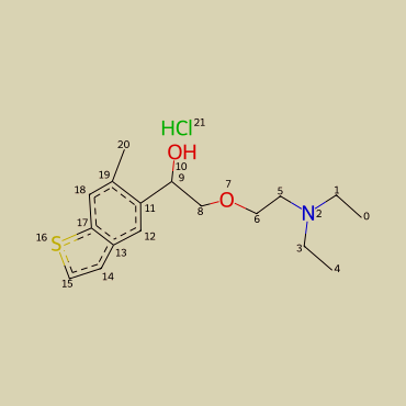 CCN(CC)CCOCC(O)c1cc2ccsc2cc1C.Cl